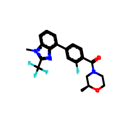 C[C@H]1CN(C(=O)c2ccc(-c3cccc4c3nc(C(F)(F)F)n4C)cc2F)CCO1